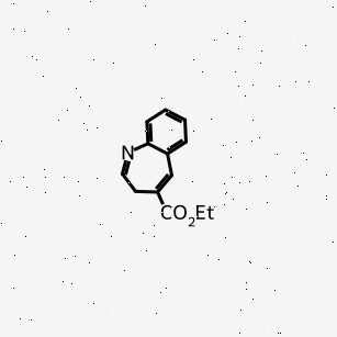 CCOC(=O)C1=Cc2ccccc2N=CC1